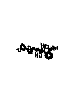 CNC(=O)c1ccccc1NC(=O)CNCc1ccc(-c2cccc(OC)c2)o1